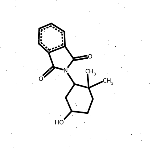 CC1(C)CCC(O)CC1N1C(=O)c2ccccc2C1=O